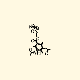 CC(=O)Cc1c(C)c(NC(C)=O)c(C)c(C(=O)OCCS(=O)(=O)O)c1C